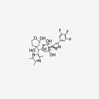 Cc1nc(C)c(C([SH]2C[C@H](O)[C@H](n3cc(-c4cc(F)c(F)c(F)c4)nn3)[C@@H](O)[C@H]2CO)C2(O)CCOCC2)nc1C